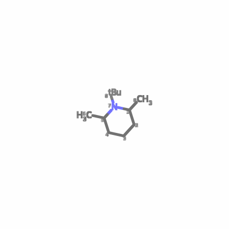 CC1CCCC(C)N1C(C)(C)C